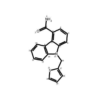 NC(=O)c1cccc2c1c1[c]cccc1n2Cc1cccs1